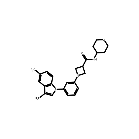 Cc1cn(-c2cccc(N3CC(C(=O)NC4CCOCC4)C3)c2)c2ccc(C(F)(F)F)cc12